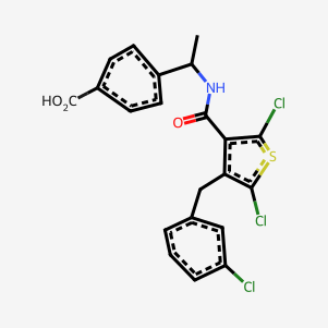 CC(NC(=O)c1c(Cl)sc(Cl)c1Cc1cccc(Cl)c1)c1ccc(C(=O)O)cc1